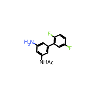 CC(=O)Nc1cc(N)cc(-c2cc(F)ccc2F)c1